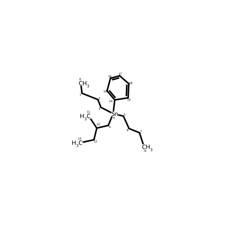 CCC[CH2][Sn]([CH2]CCC)([CH2]C(C)CC)[c]1ccccc1